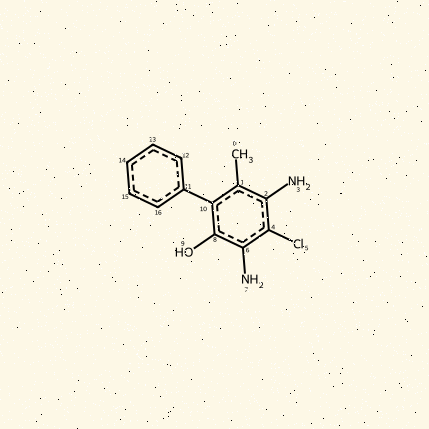 Cc1c(N)c(Cl)c(N)c(O)c1-c1ccccc1